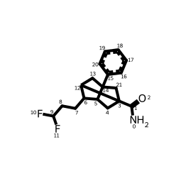 NC(=O)C12CC3C(CCC(F)F)C1CC3(c1ccccc1)C2